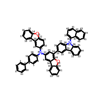 c1ccc(-c2ccc(N(c3ccc4oc5ccccc5c4c3)c3cc(-c4ccc5c(c4)c4ccccc4n5-c4cccc5ccccc45)c4oc5ccccc5c4c3)cc2)cc1